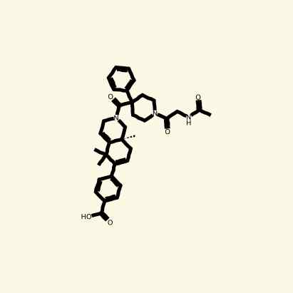 CC(=O)NCC(=O)N1CCC(C(=O)N2CC=C3C(C)(C)C(c4ccc(C(=O)O)cc4)=CC[C@]3(C)C2)(c2ccccc2)CC1